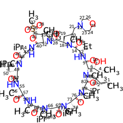 C/C=C/C[C@@H](C)[C@@H](O)[C@H]1C(=O)N[C@@H](CC)C(=O)N(C)[C@H](CCCN2CCOCC2)C(=O)N(C)[C@@H]([C@H](C)CS(C)(=O)=O)C(=O)NC(C(C)C)C(=O)N(C)[C@@H](CC(C)C)C(=O)N[C@@H](C)C(=O)N[C@H](C)C(=O)N(C)[C@@H](CC(C)C)C(=O)N(C)[C@@H](CC(C)C)C(=O)N(C)C(C(C)C)C(=O)N1C